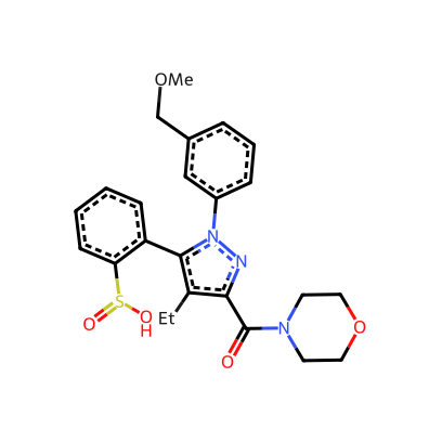 CCc1c(C(=O)N2CCOCC2)nn(-c2cccc(COC)c2)c1-c1ccccc1S(=O)O